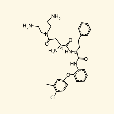 Cc1cc(Oc2ccccc2NC(=O)[C@H](CCc2ccccc2)NC(=O)[C@@H](N)CC(=O)N(CCN)CCN)ccc1Cl